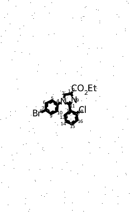 CCOC(=O)C1CN(c2ccc(Br)cc2)C(c2ccccc2Cl)=N1